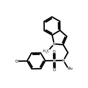 CCC(C)N(Cc1cc2ccccc2n1C)S(=O)(=O)c1ccc(Cl)cc1